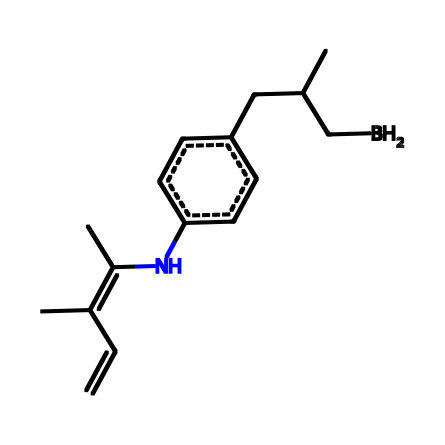 BCC(C)Cc1ccc(N/C(C)=C(/C)C=C)cc1